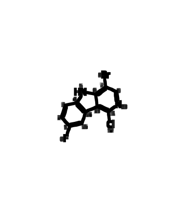 Fc1ccc2[nH]c3c(Br)cnc(Cl)c3c2c1